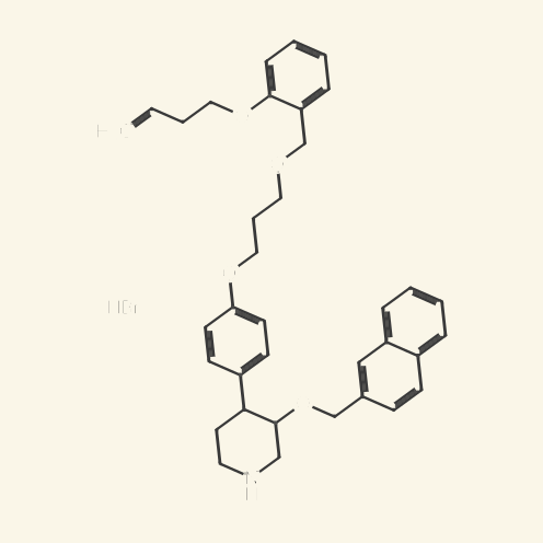 Br.C=CCCOc1ccccc1COCCCOc1ccc(C2CCNCC2OCc2ccc3ccccc3c2)cc1